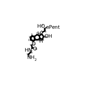 CCCCC[C@H](O)CC[C@@H]1[C@H]2Cc3cccc(OCC(=O)NCCN)c3C[C@H]2C[C@H]1O